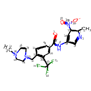 Cc1ncc(NC(=O)c2ccc(CN3CCN(C)CC3)c(C(F)(F)F)c2)cc1[N+](=O)[O-]